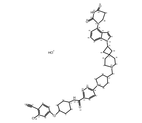 Cl.N#Cc1ccc(OC2CCC(NC(=O)c3ccc(N4CCC(CN5CCC6(CC5)CC(n5ccc7c(N8CCC(=O)NC8=O)cccc75)C6)CC4)nn3)CC2)cc1Cl